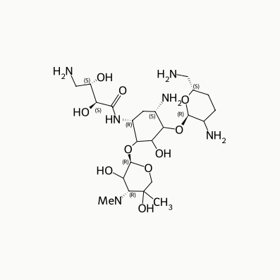 CN[C@@H]1C(O)[C@@H](OC2C(O)C(O[C@H]3O[C@H](CN)CCC3N)[C@@H](N)C[C@H]2NC(=O)[C@@H](O)[C@@H](O)CN)OCC1(C)O